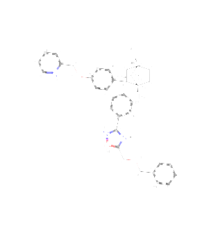 c1ccc(COCc2nc(-c3ccc([C@]4(c5ccc(OCc6ccccn6)cc5)C[C@@H]5CC[C@H]4C5)cc3)no2)cc1